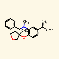 C=C(OC)c1ccc(OC2(C=O)CCOC2)c(N(C)Cc2ccccc2)c1